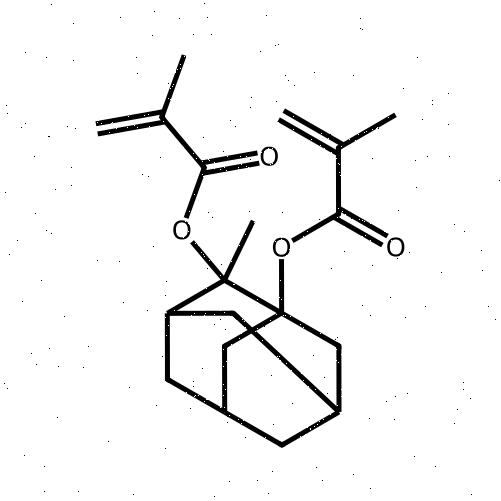 C=C(C)C(=O)OC12CC3CC(CC(C3)C1(C)OC(=O)C(=C)C)C2